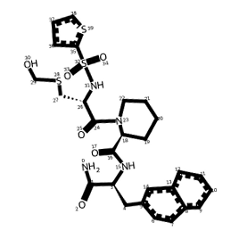 NC(=O)[C@H](Cc1ccc2ccccc2c1)NC(=O)[C@@H]1CCCCN1C(=O)[C@H](CSCO)NS(=O)(=O)c1cccs1